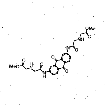 COC(=O)CNCC(=O)Nc1ccc2c(c1)C(=O)c1cc(NC(=O)CNCC(=O)OC)ccc1C2=O